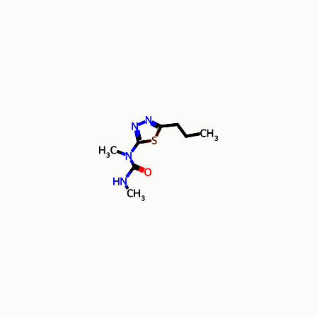 CCCc1nnc(N(C)C(=O)NC)s1